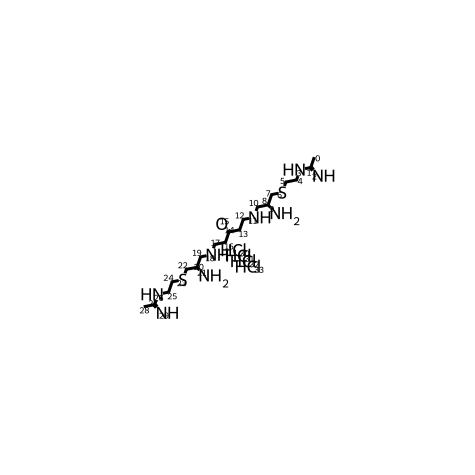 CC(=N)NCCSCC(N)CNCCC(=O)CCNCC(N)CSCCNC(C)=N.Cl.Cl.Cl.Cl